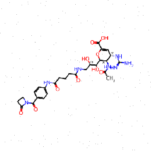 CC(=O)N[C@H]1C(C(O)[C@H](O)CNC(=O)CCCC(=O)Nc2ccc(C(=O)N3CCC3=O)cc2)OC(C(=O)O)=C[C@@H]1NC(=N)N